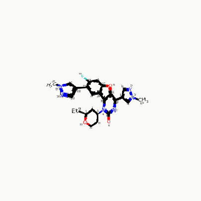 CC[C@H]1C[C@@H](n2c(=O)nc(-c3cnn(C)c3)c3oc4cc(F)c(-c5cnn(C)c5)cc4c32)CCO1